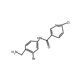 NCc1ccc(NC(=O)c2ccc(Cl)nc2)cc1Br